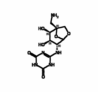 NC[C@@]12COC(O1)[C@H](Nc1nc(=O)[nH]c(=O)[nH]1)[C@@H](O)[C@H]2O